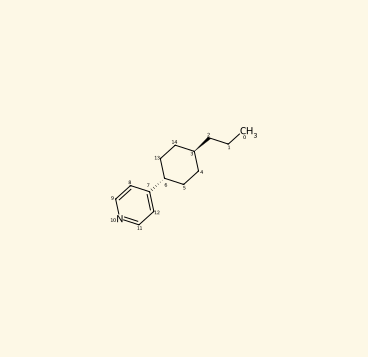 CCC[C@H]1CC[C@H](c2ccncc2)CC1